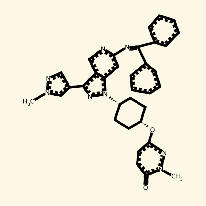 Cn1cc(-c2nn([C@H]3CC[C@@H](Oc4ccc(=O)n(C)n4)CC3)c3cc(N=C(c4ccccc4)c4ccccc4)ncc23)cn1